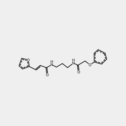 O=C(C=Cc1ccco1)NCCCNC(=O)COc1ccccc1